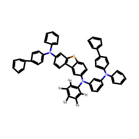 [2H]c1c([2H])c([2H])c(N(c2cccc(N(c3ccccc3)c3ccc(-c4ccccc4)cc3)c2)c2ccc3sc4cc(N(c5ccccc5)c5ccc(-c6ccccc6)cc5)ccc4c3c2)c([2H])c1[2H]